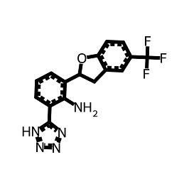 Nc1c(-c2nnn[nH]2)cccc1C1Cc2cc(C(F)(F)F)ccc2O1